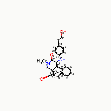 CN1CC23C=CC(=O)C=C2C=c2ccccc2=C3C(Nc2ccc(CCO)cc2)C1=O